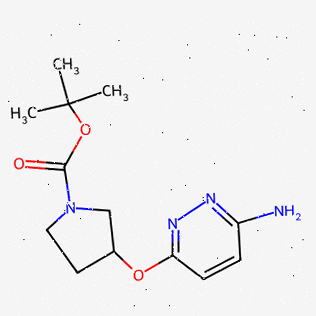 CC(C)(C)OC(=O)N1CCC(Oc2ccc(N)nn2)C1